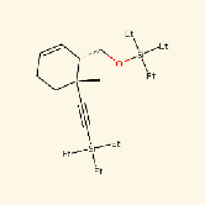 CC[Si](C#C[C@]1(C)CCC=C[C@@H]1CO[Si](CC)(CC)CC)(CC)CC